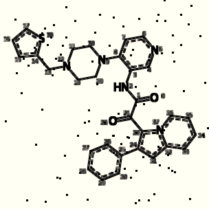 O=C(Nc1cnccc1N1CCN(Cc2cccs2)CC1)C(=O)c1c(-c2ccccc2)cc2ccccn12